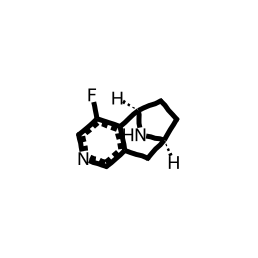 Fc1cncc2c1[C@H]1CC[C@@H](C2)N1